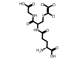 N[C@@H](CCC(=O)NC(CSC(Cl)=C(Cl)Cl)C(=O)NCC(=O)O)C(=O)O